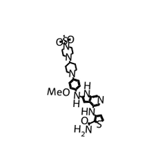 COc1cc(N2CCC(N3CCN(S(C)(=O)=O)CC3)CC2)ccc1Nc1cc2c(Nc3ccsc3C(N)=O)cncc2[nH]1